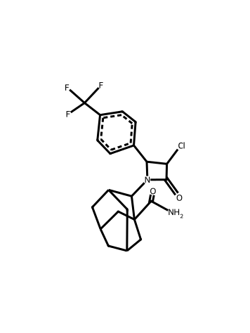 NC(=O)C12CC3CC(CC(C3)C1N1C(=O)C(Cl)C1c1ccc(C(F)(F)F)cc1)C2